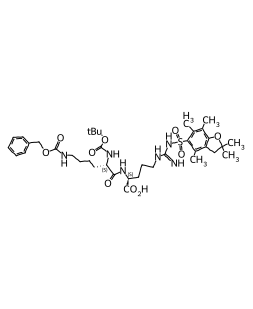 Cc1c(C)c(S(=O)(=O)NC(=N)NCCC[C@H](NC(=O)[C@H](CCCCNC(=O)OCc2ccccc2)NC(=O)OC(C)(C)C)C(=O)O)c(C)c2c1OC(C)(C)C2